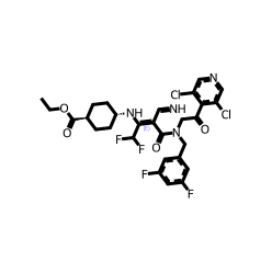 CCOC(=O)[C@H]1CC[C@H](N/C(=C(\C=N)C(=O)N(CC(=O)c2c(Cl)cncc2Cl)Cc2cc(F)cc(F)c2)C(F)F)CC1